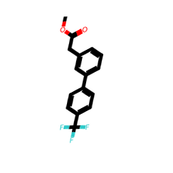 COC(=O)Cc1cccc(-c2ccc(C(F)(F)F)cc2)c1